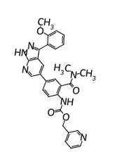 COc1ccccc1-c1n[nH]c2ncc(-c3ccc(NC(=O)OCc4cccnc4)c(C(=O)N(C)C)c3)cc12